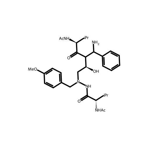 COc1ccc(CN(C[C@H](O)C(C(=O)[C@@H](NC(C)=O)C(C)C)C(N)c2ccccc2)NC(=O)[C@@H](NC(C)=O)C(C)C)cc1